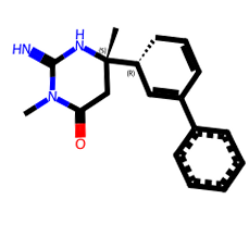 CN1C(=N)N[C@](C)([C@H]2C=C(c3ccccc3)C=CC2)CC1=O